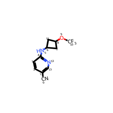 N#Cc1ccc(NC2CC(OC(F)(F)F)C2)nc1